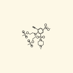 C#Cc1cc([N+](=O)[O-])cc(S(=O)(=O)N2CCN(C)CC2)c1N(CCOS(C)(=O)=O)CCOS(C)(=O)=O